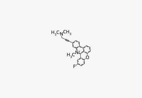 CN(C)CC#Cc1ccc2c3cccc4c3c([n+](C)c2c1)-c1cc(F)ccc1O4